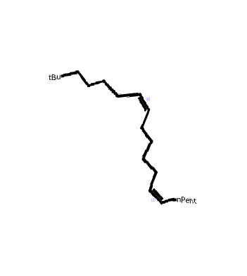 CCCCC/C=C\CCCC/C=C\CCCCC(C)(C)C